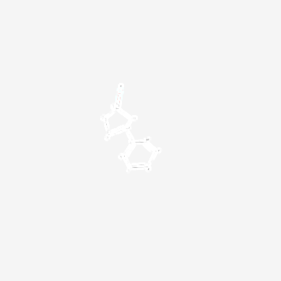 O=C1CC=C(c2ccccc2)C1